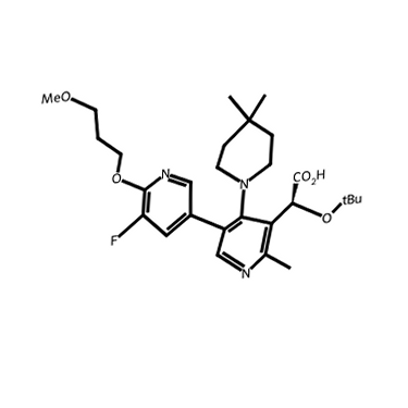 COCCCOc1ncc(-c2cnc(C)c([C@H](OC(C)(C)C)C(=O)O)c2N2CCC(C)(C)CC2)cc1F